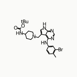 Cc1ccc(Nc2ncnc3[nH]cc(CN4CCC(NC(=O)OC(C)(C)C)CC4)c23)cc1Br